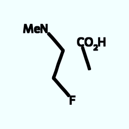 CC(=O)O.CNCCF